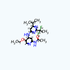 CCOc1cnc(NC(C)=O)cc1Nc1cc(C(C)C)nc(C(C)(F)F)n1